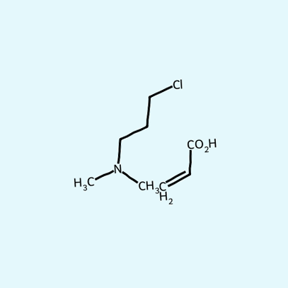 C=CC(=O)O.CN(C)CCCCl